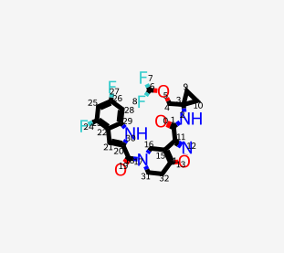 O=C(NC1(COC(F)F)CC1)c1noc2c1CN(C(=O)c1cc3c(F)cc(F)cc3[nH]1)CC2